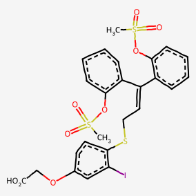 CS(=O)(=O)Oc1ccccc1C(=CCSc1ccc(OCC(=O)O)cc1I)c1ccccc1OS(C)(=O)=O